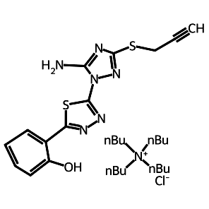 C#CCSc1nc(N)n(-c2nnc(-c3ccccc3O)s2)n1.CCCC[N+](CCCC)(CCCC)CCCC.[Cl-]